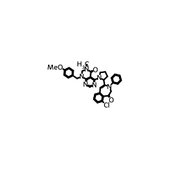 COc1ccc(CN2CN(C)C(=O)c3c2ncnc3N2CCCC2C2=Cc3cccc(Cl)c3C(=O)CN2c2ccccc2)cc1